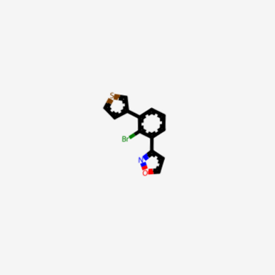 Brc1c(-c2ccsc2)cccc1-c1ccon1